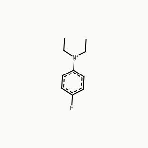 CC[N+](CC)c1ccc(F)cc1